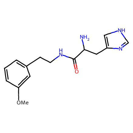 COc1cccc(CCNC(=O)C(N)Cc2c[nH]cn2)c1